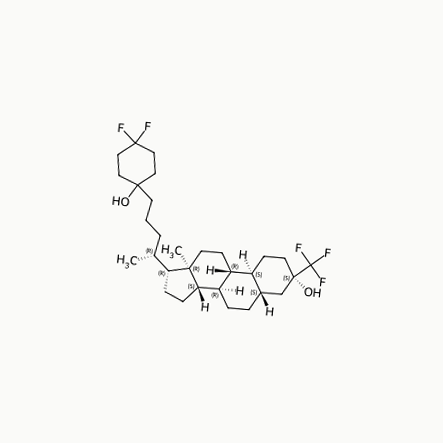 C[C@H](CCCC1(O)CCC(F)(F)CC1)[C@H]1CC[C@H]2[C@@H]3CC[C@H]4C[C@](O)(C(F)(F)F)CC[C@@H]4[C@H]3CC[C@]12C